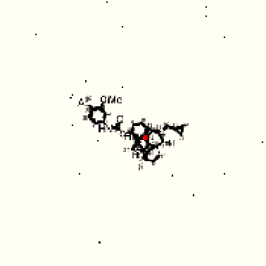 COc1cc(NC(=O)Oc2ccc3c4c2O[C@H]2[C@]5(C)CC[C@@]6(C[C@@H]5C(C)(O)C(C)(C)C)[C@@H](C3)N(CC3CC3)CC[C@]426)ccc1C(C)=O